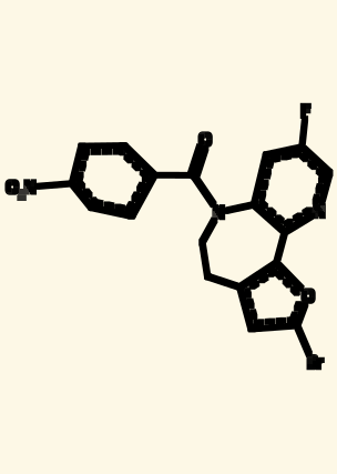 O=C(c1ccc([N+](=O)[O-])cc1)N1CCc2cc(Br)oc2-c2ncc(F)cc21